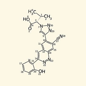 CC(C)[C@@H](C(=O)O)n1cc(-c2cc3cc(-c4ccccc4O)nnc3cc2C#N)nn1